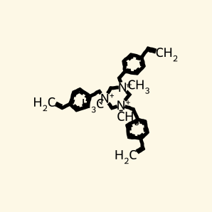 C=Cc1ccc(C[N+]2(C)C[N+](C)(Cc3ccc(C=C)cc3)C[N+](C)(Cc3ccc(C=C)cc3)C2)cc1